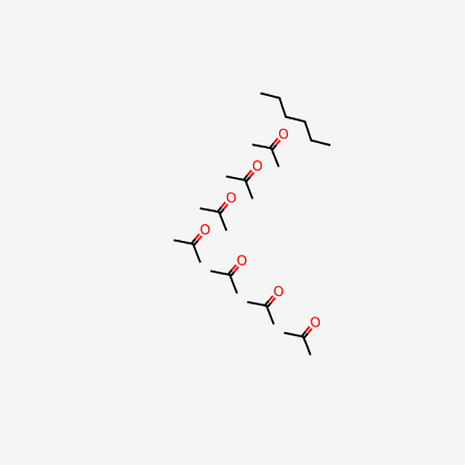 CC(C)=O.CC(C)=O.CC(C)=O.CC(C)=O.CC(C)=O.CC(C)=O.CC(C)=O.CCCCCC